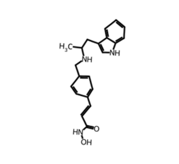 CC(Cc1c[nH]c2ccccc12)NCc1ccc(/C=C/C(=O)NO)cc1